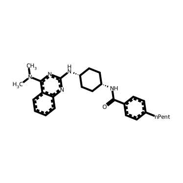 CCCCCc1ccc(C(=O)N[C@H]2CC[C@@H](Nc3nc(N(C)C)c4ccccc4n3)CC2)cc1